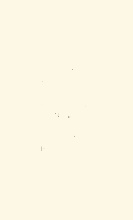 CC[C@@H]1COC(C)C(=O)N1Cc1ccccc1